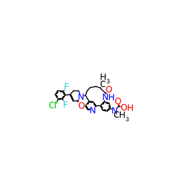 C[C@@H]1CCC[C@H](N2CCC(c3c(F)ccc(Cl)c3F)=CC2=O)c2ccnc(c2)-c2ccc(N(C)C(=O)O)cc2NC1=O